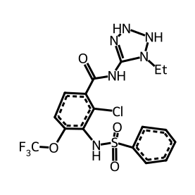 CCN1NNN=C1NC(=O)c1ccc(OC(F)(F)F)c(NS(=O)(=O)c2ccccc2)c1Cl